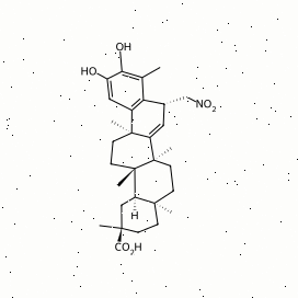 Cc1c(O)c(O)cc2c1[C@H](C[N+](=O)[O-])C=C1[C@@]2(C)CC[C@@]2(C)[C@@H]3C[C@](C)(C(=O)O)CC[C@]3(C)CC[C@]12C